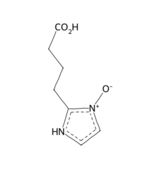 O=C(O)CCCc1[nH]cc[n+]1[O-]